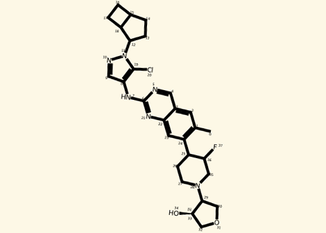 Cc1cc2cnc(Nc3cnn(C4CCC5CCC54)c3Cl)nc2cc1C1CCN(C2COC[C@H]2O)CC1F